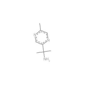 Cc1cnc(C(C)(C)N)cn1